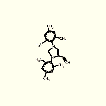 C#CC1=CN(c2c(C)cc(C)cc2C)CN1c1c(C)cc(C)cc1C